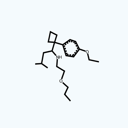 CCCOCCNC(CC(C)C)C1(c2ccc(OCC)cc2)CCC1